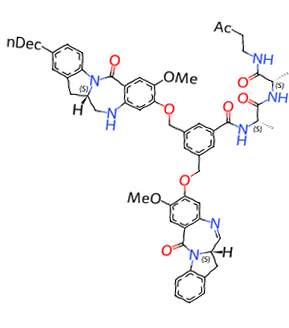 CCCCCCCCCCc1ccc2c(c1)C[C@H]1CNc3cc(OCc4cc(COc5cc6c(cc5OC)C(=O)N5c7ccccc7C[C@H]5C=N6)cc(C(=O)N[C@@H](C)C(=O)N[C@@H](C)C(=O)NCCC(C)=O)c4)c(OC)cc3C(=O)N21